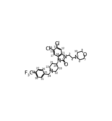 O=c1n(CCN2CCOCC2)c2cc(Cl)c(Cl)cc2n1C1CCN(Cc2ccc(C(F)(F)F)cc2)CC1